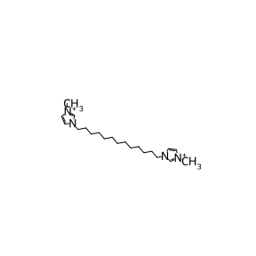 C[n+]1ccn(CCCCCCCCCCCCCn2cc[n+](C)c2)c1